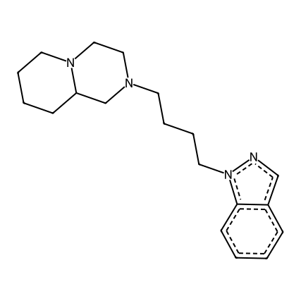 c1ccc2c(c1)cnn2CCCCN1CCN2CCCCC2C1